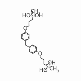 C[Si](O)(O)CCCOc1ccc(Cc2ccc(OCCC[Si](C)(O)O)cc2)cc1